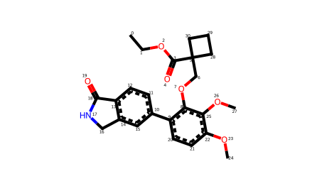 CCOC(=O)C1(COc2c(-c3ccc4c(c3)CNC4=O)ccc(OC)c2OC)CCC1